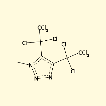 Cn1nnc(C(Cl)(Cl)C(Cl)(Cl)Cl)c1C(Cl)(Cl)C(Cl)(Cl)Cl